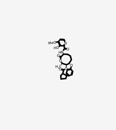 COc1ccnc(C(=O)N[C@H]2CCC[C@H](Oc3ccccc3)[C@@H](OC(=O)C3CCCC3)[C@H](C)OC2=O)c1O